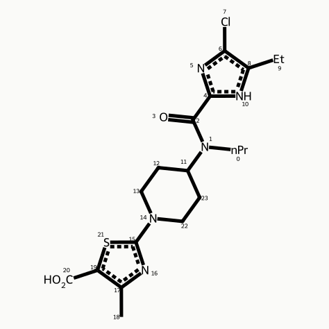 CCCN(C(=O)c1nc(Cl)c(CC)[nH]1)C1CCN(c2nc(C)c(C(=O)O)s2)CC1